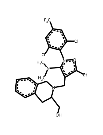 CCc1nn(-c2c(Cl)cc(C(F)(F)F)cc2Cl)c(N(C)C)c1CN1Cc2ccccc2CC1CO